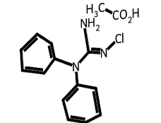 CC(=O)O.NC(=NCl)N(c1ccccc1)c1ccccc1